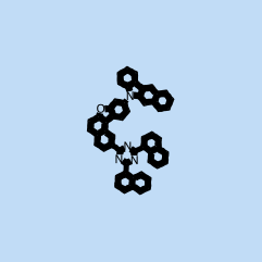 c1ccc2cc3c(cc2c1)c1ccccc1n3-c1ccc2c(c1)oc1ccc3ccc(-c4nc(-c5cccc6ccccc56)nc(-c5cccc6ccccc56)n4)cc3c12